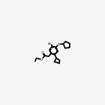 CCOC(=O)Cc1cc(Br)c(OC2CCCC2)cc1C1CCC1